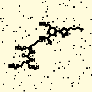 O=C(O)CC[C@H](NC(=O)N[C@@H](CCCCNC(=O)c1cc(C(=O)O)cc(-n2cc(CCCF)nn2)c1)C(=O)O)C(=O)O